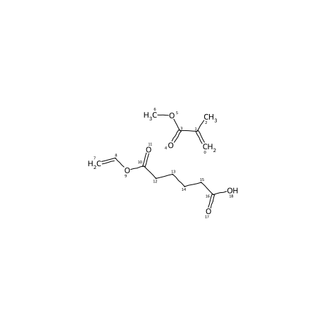 C=C(C)C(=O)OC.C=COC(=O)CCCCC(=O)O